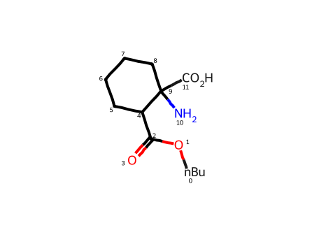 CCCCOC(=O)C1CCCCC1(N)C(=O)O